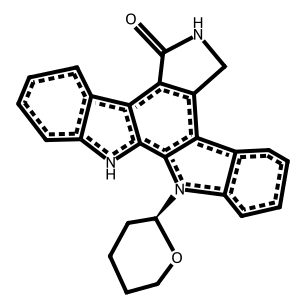 O=C1NCc2c1c1c3ccccc3[nH]c1c1c2c2ccccc2n1[C@@H]1CCCCO1